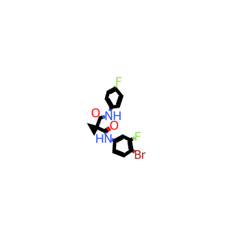 O=C(Nc1ccc(F)cc1)C1(C(=O)Nc2ccc(Br)c(F)c2)CC1